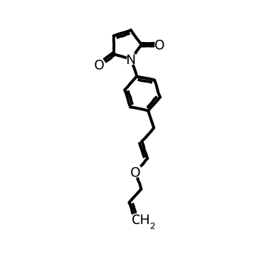 C=CCOC=CCc1ccc(N2C(=O)C=CC2=O)cc1